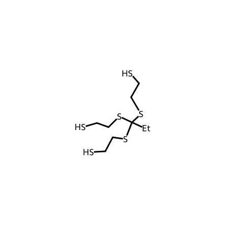 CCC(SCCS)(SCCS)SCCS